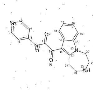 O=C(Nc1ccncc1)C(=O)c1c2n(c3ccccc13)CCNCC2